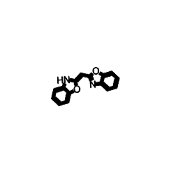 C(=C1\Nc2ccccc2O1)/c1nc2ccccc2o1